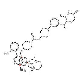 CN(c1cccc(C2CCN(CC(=O)N3CCN(Cc4cccc(N5[C@@H]6CCC[C@H]5CN(c5cc(-c7ccccc7O)nnc5N)C6)c4)CC3)CC2)c1)C1CCC(=O)NC1=O